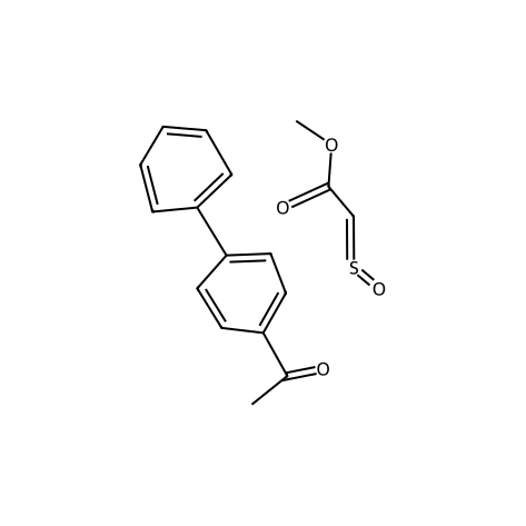 CC(=O)c1ccc(-c2ccccc2)cc1.COC(=O)C=S=O